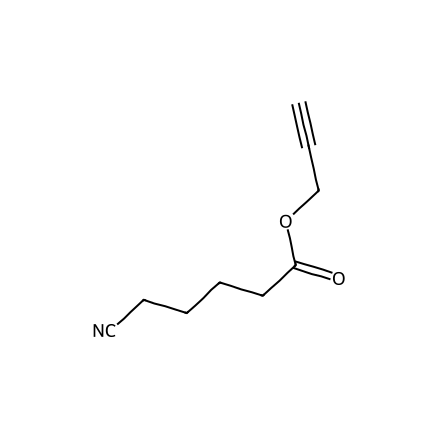 C#CCOC(=O)CCCCC#N